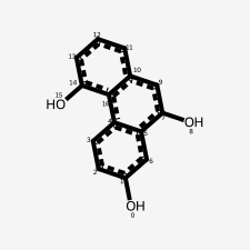 Oc1ccc2c(c1)c(O)cc1cccc(O)c12